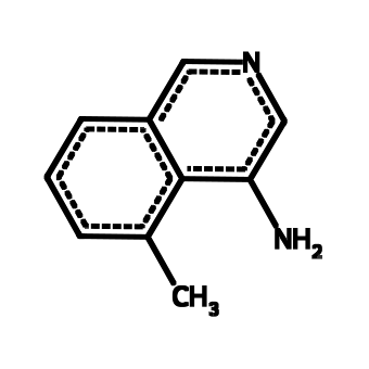 Cc1cccc2cncc(N)c12